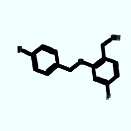 OCc1ccc(F)cc1OCc1ccc(F)cc1